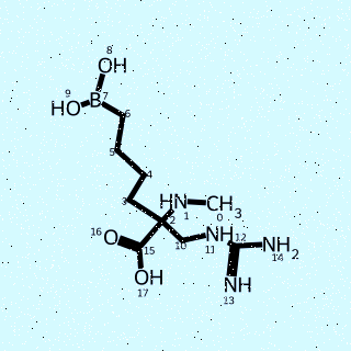 CNC(CCCCB(O)O)(CNC(=N)N)C(=O)O